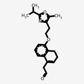 Cc1oc(C(C)C)nc1CCOc1cccc2c1CCC=C2CC=O